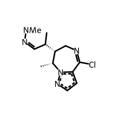 CN/N=C\C(C)[C@@H]1CN=C(Cl)c2ccnn2[C@@H]1C